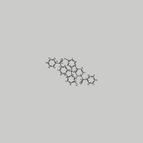 Cc1ccc2c(c1)C1(C3=C2C=CC(C(=O)c2ccccc2)C3)c2cc(C)ccc2-c2ccc(C(=O)c3ccccc3)cc21